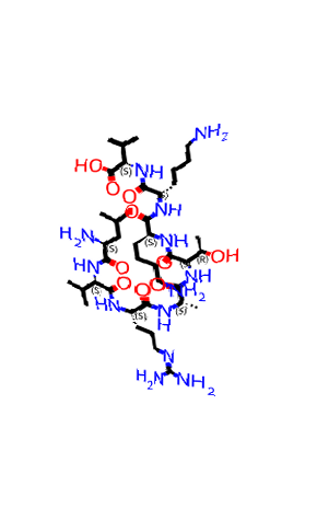 CC(C)C[C@H](N)C(=O)N[C@H](C(=O)N[C@@H](CCCN=C(N)N)C(=O)N[C@@H](C)C(=O)N[C@H](C(=O)N[C@@H](CCCCN)C(=O)N[C@@H](CCCCN)C(=O)N[C@H](C(=O)O)C(C)C)[C@@H](C)O)C(C)C